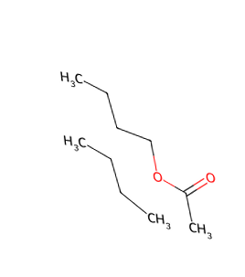 CCCC.CCCCOC(C)=O